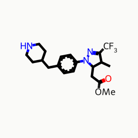 COC(=O)CC1C(C)C(C(F)(F)F)=NN1c1ccc(CC2CCNCC2)cc1